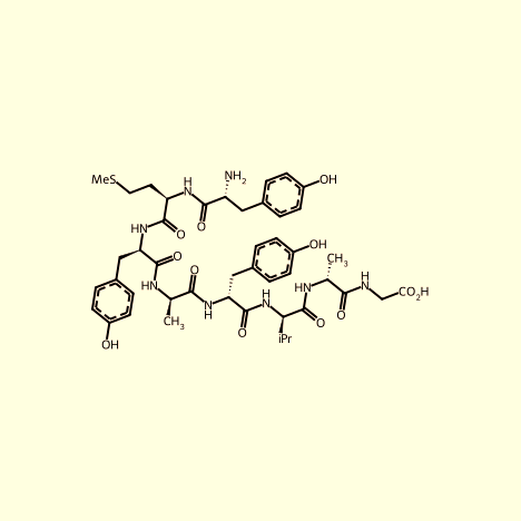 CSCC[C@@H](NC(=O)[C@H](N)Cc1ccc(O)cc1)C(=O)N[C@H](Cc1ccc(O)cc1)C(=O)N[C@H](C)C(=O)N[C@H](Cc1ccc(O)cc1)C(=O)N[C@@H](C(=O)N[C@H](C)C(=O)NCC(=O)O)C(C)C